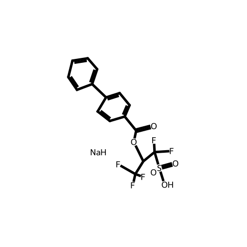 O=C(OC(C(F)(F)F)C(F)(F)S(=O)(=O)O)c1ccc(-c2ccccc2)cc1.[NaH]